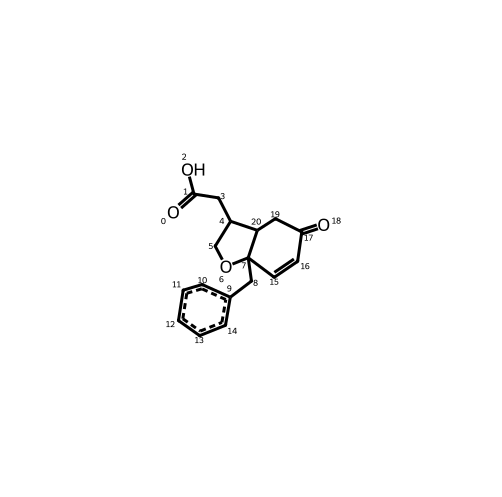 O=C(O)CC1COC2(Cc3ccccc3)C=CC(=O)CC12